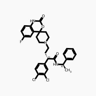 C[C@@H](NC(=O)[C@@H](CCN1CCC2(CC1)OC(=O)Nc1ccc(F)cc12)c1ccc(Cl)c(Cl)c1)c1ccccc1